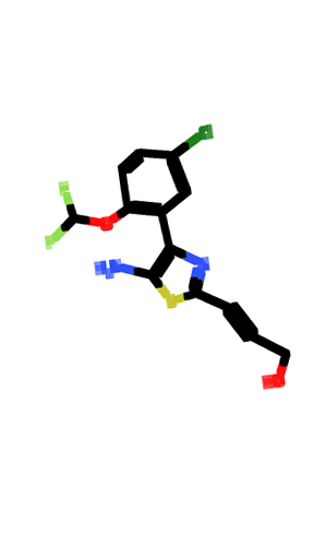 Nc1sc(C#CCO)nc1-c1cc(Cl)ccc1OC(F)F